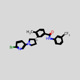 Cc1ccc(C(=O)Nc2cccc(C(F)(F)F)c2)cc1[C@@H]1CCN(c2ccc(Br)nc2)C1